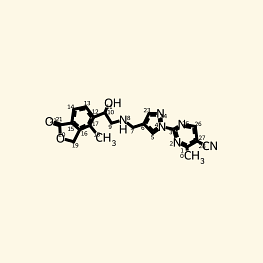 Cc1nc(-n2cc(CNCC(O)c3ccc4c(c3C)COC4=O)cn2)ncc1C#N